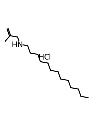 C=C(C)CNCCCCCCCCCCCCC.Cl